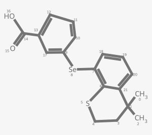 CC1(C)CCSc2c([Se]c3cccc(C(=O)O)c3)cccc21